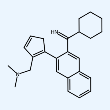 CN(C)CC1=C(c2cc3ccccc3cc2C(=N)C2CCCCC2)CC=C1